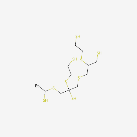 CCC(S)SCC(S)(CSCC(CS)SCCS)SCCS